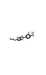 CCCCc1cc2sc(-c3ccc(NC)c(F)c3)nc2s1